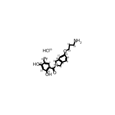 CC(C)c1cc(C(=O)N2Cc3ccc(OCCCN)cc3C2)c(O)cc1O.Cl